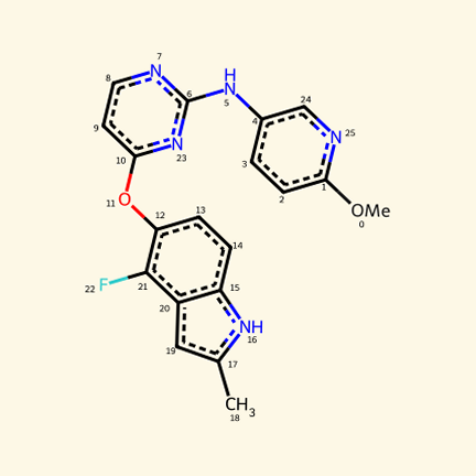 COc1ccc(Nc2nccc(Oc3ccc4[nH]c(C)cc4c3F)n2)cn1